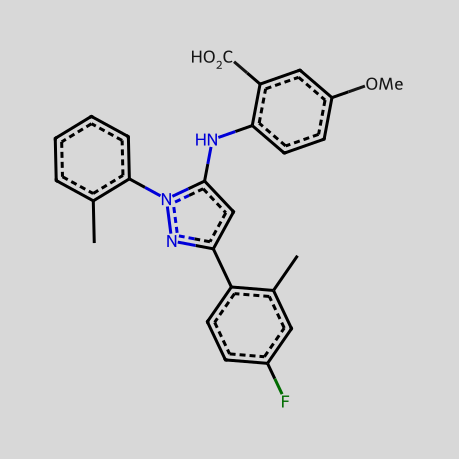 COc1ccc(Nc2cc(-c3ccc(F)cc3C)nn2-c2ccccc2C)c(C(=O)O)c1